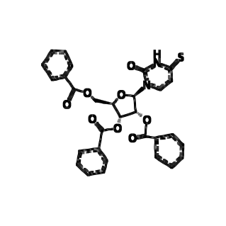 O=C(OC[C@H]1O[C@@H](n2ccc(=S)[nH]c2=O)[C@H](OC(=O)c2ccccc2)[C@@H]1OC(=O)c1ccccc1)c1ccccc1